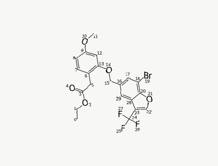 CCOC(=O)Cc1ccc(OC)cc1OCc1cc(Br)c2occ(C(F)(F)F)c2c1